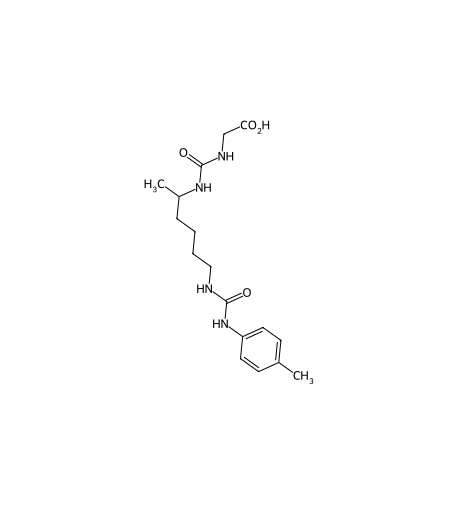 Cc1ccc(NC(=O)NCCCCC(C)NC(=O)NCC(=O)O)cc1